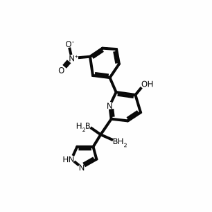 BC(B)(c1cn[nH]c1)c1ccc(O)c(-c2cccc([N+](=O)[O-])c2)n1